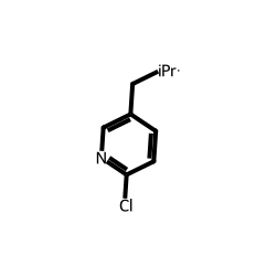 C[C](C)Cc1ccc(Cl)nc1